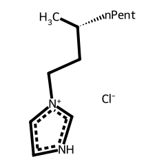 CCCCC[C@@H](C)CC[n+]1cc[nH]c1.[Cl-]